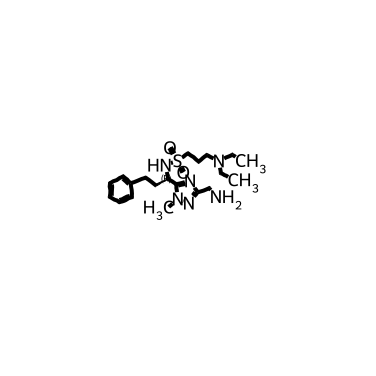 CCN(CC)CCCS(=O)(=O)N[C@H](CCc1ccccc1)c1nc(CN)nn1C